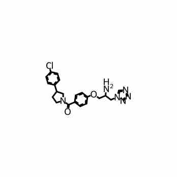 NC(COc1ccc(C(=O)N2CCC(c3ccc(Cl)cc3)C2)cc1)Cn1cnnn1